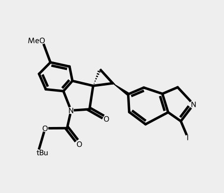 COc1ccc2c(c1)[C@]1(C[C@H]1c1ccc3c(c1)CN=C3I)C(=O)N2C(=O)OC(C)(C)C